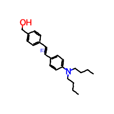 CCCCN(CCCC)c1ccc(/C=C/c2ccc(CO)cc2)cc1